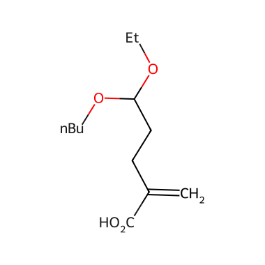 C=C(CCC(OCC)OCCCC)C(=O)O